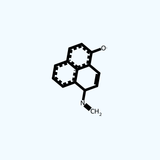 C=NC1C=Cc2c([O])ccc3cccc1c23